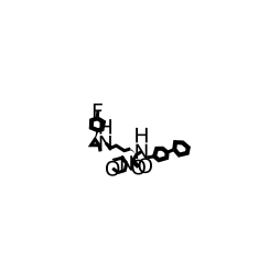 CC1(NCCCC[C@H](NC(=O)c2ccc(-c3ccccc3)cc2)C(=O)N2CCOCC2)C[C@H]1c1ccc(F)cc1